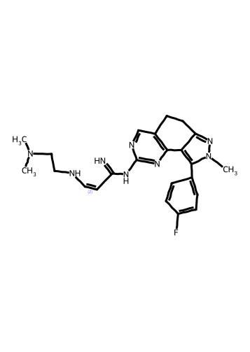 CN(C)CCN/C=C\C(=N)Nc1ncc2c(n1)-c1c(nn(C)c1-c1ccc(F)cc1)CC2